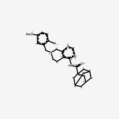 COc1ccc(F)c(CN2CCc3c(ncnc3NC(=O)C34CC5CC(CC(C5)C3)C4)C2)c1